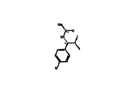 CC(C)(C)[S@@+]([O-])N[C@@H](c1ccc(Br)cc1)C(F)F